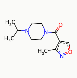 Cc1nocc1C(=O)N1CCN(C(C)C)CC1